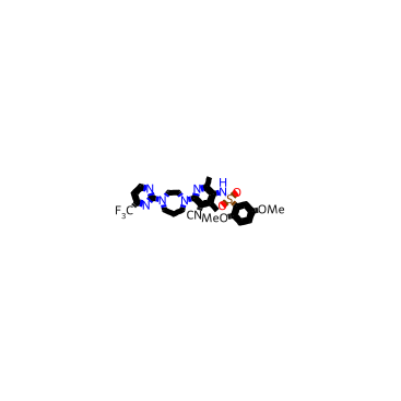 COc1ccc(OC)c(S(=O)(=O)Nc2c(C)nc(N3CCCN(c4nccc(C(F)(F)F)n4)CC3)c(C#N)c2C)c1